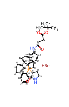 Br.CC(C)(C)OC(=O)CCC(=O)Nc1ccc(CP(c2ccccc2)(c2ccccc2)(c2ccccc2)C2CCNC2=O)cc1